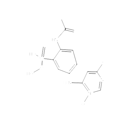 CC(=O)Nc1ccccc1[As](=O)(O)OO.Nc1cc(Cl)nc[n+]1[O-]